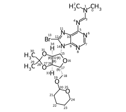 CN(C)C=Nc1ncnc2c1nc(Br)n2[C@@H]1O[C@H](COC2CCCCO2)[C@H]2OC(C)(C)O[C@H]21